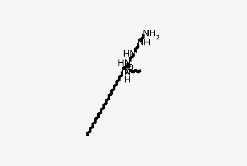 CCCCCCCCCCCCCCCCCCCCCCCCCCCCN(CC(=O)NCCCNCCCCNCCCN)NCCCCC